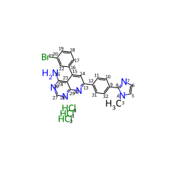 Cl.Cl.Cl.Cn1ccnc1-c1ccc(-c2cc(-c3cccc(Br)c3)c3c(N)ncnc3n2)cc1